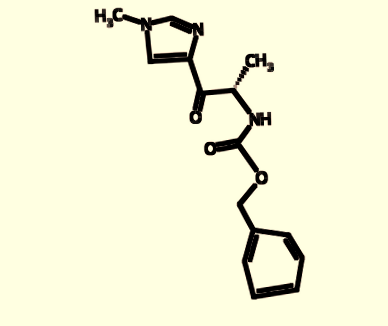 C[C@H](NC(=O)OCc1ccccc1)C(=O)c1cn(C)cn1